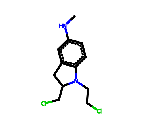 CNc1ccc2c(c1)CC(CCl)N2CCCl